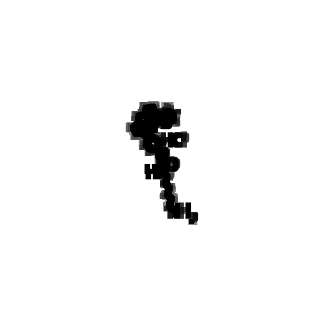 Cl.NCCCCCCNC(=O)COc1ccc(C2=[N+]3C(=Cc4ccc(-c5cccs5)n4[B-]3(F)F)C=C2)cc1